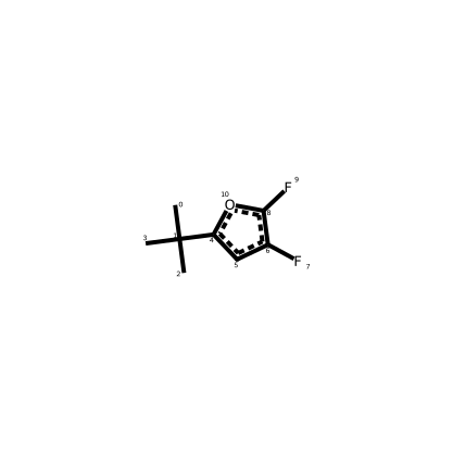 CC(C)(C)c1cc(F)c(F)o1